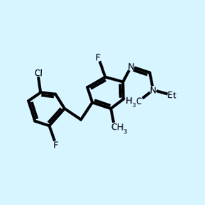 CCN(C)/C=N\c1cc(C)c(Cc2cc(Cl)ccc2F)cc1F